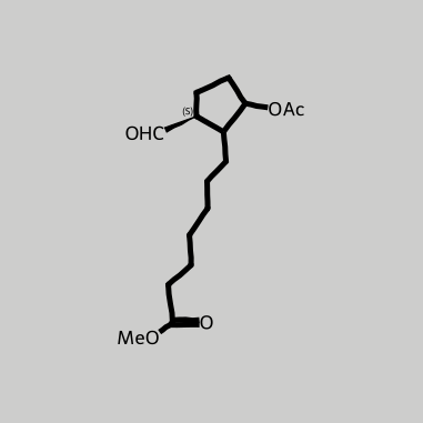 COC(=O)CCCCCCC1C(OC(C)=O)CC[C@@H]1C=O